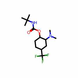 CN(C)C1CC(C(F)(F)F)CCC1OC(=O)NC(C)(C)C